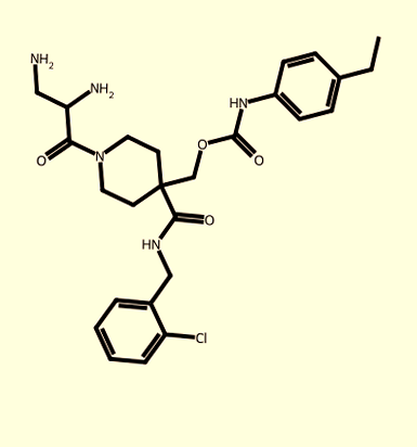 CCc1ccc(NC(=O)OCC2(C(=O)NCc3ccccc3Cl)CCN(C(=O)C(N)CN)CC2)cc1